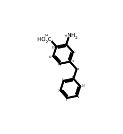 Nc1cc(Cc2ccccc2)ccc1C(=O)O